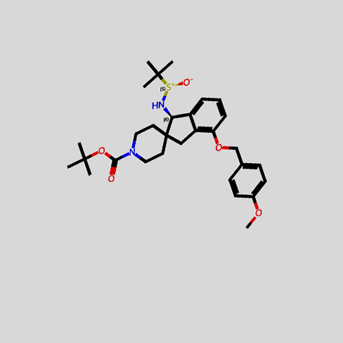 COc1ccc(COc2cccc3c2CC2(CCN(C(=O)OC(C)(C)C)CC2)[C@H]3N[S@+]([O-])C(C)(C)C)cc1